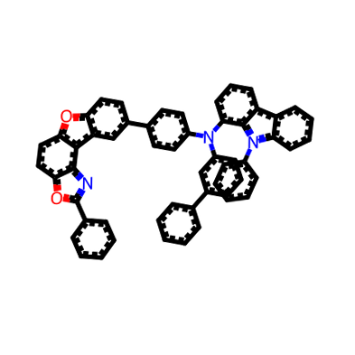 c1ccc(-c2cccc(N(c3ccc(-c4ccc5oc6ccc7oc(-c8ccccc8)nc7c6c5c4)cc3)c3cccc4c5ccccc5n(-c5ccccc5)c34)c2)cc1